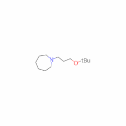 CC(C)(C)OCCCN1CCCCCC1